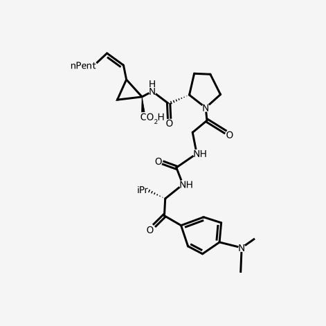 CCCCC/C=C\C1C[C@]1(NC(=O)[C@@H]1CCCN1C(=O)CNC(=O)N[C@H](C(=O)c1ccc(N(C)C)cc1)C(C)C)C(=O)O